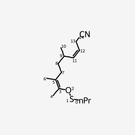 CCCSO/C(C)=C(/C)CCC(C)/C=C\CC#N